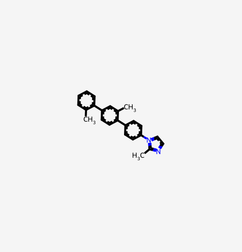 Cc1ccccc1-c1ccc(-c2ccc(-n3ccnc3C)cc2)c(C)c1